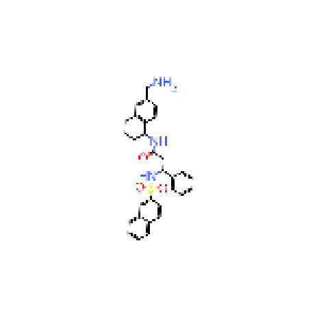 NCc1ccc2c(c1)CCCC2NC(=O)C[C@@H](NS(=O)(=O)c1ccc2ccccc2c1)c1ccccc1